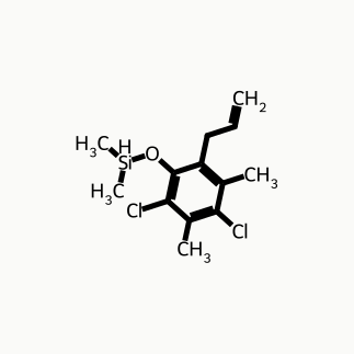 C=CCc1c(C)c(Cl)c(C)c(Cl)c1O[SiH](C)C